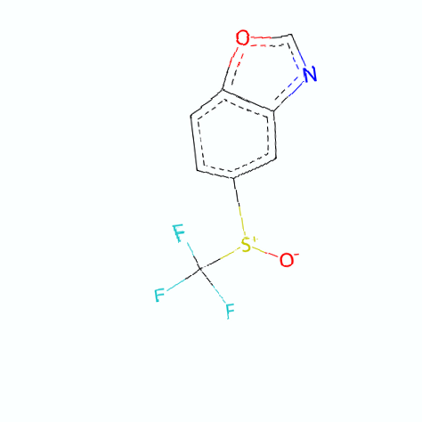 [O-][S+](c1ccc2ocnc2c1)C(F)(F)F